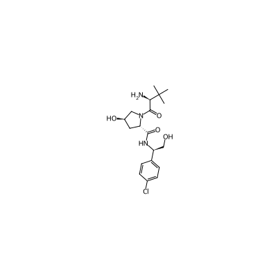 CC(C)(C)[C@H](N)C(=O)N1C[C@H](O)C[C@H]1C(=O)N[C@@H](CO)c1ccc(Cl)cc1